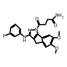 COc1cc2c(cc1OC)-c1c(c(Nc3cccc(F)c3)nn1C(=O)CCC(N)=O)C2